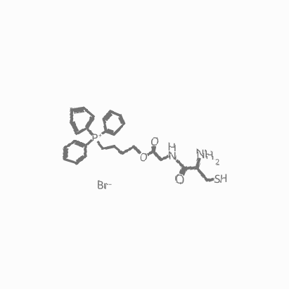 NC(CS)C(=O)NCC(=O)OCCCC[P+](c1ccccc1)(c1ccccc1)c1ccccc1.[Br-]